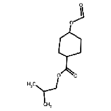 CC(C)COC(=O)C1CCC(OC=O)CC1